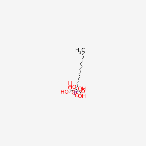 CCCCCCCCCCCCCCCCC(O)(CC(O)CO)C(O)(C(=O)O)P(=O)=O